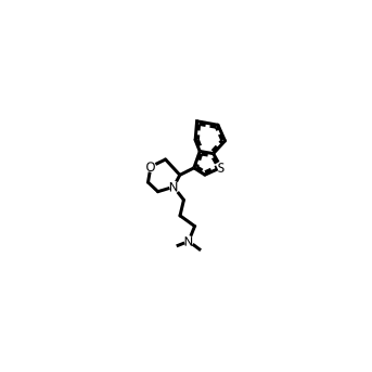 CN(C)CCCN1CCOCC1c1csc2ccccc12